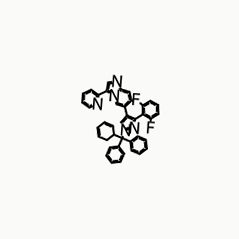 Fc1cccc(F)c1-c1nn(C(c2ccccc2)(c2ccccc2)C2C=CC=CC2)cc1-c1ccc2ncc(-c3ccccn3)n2c1